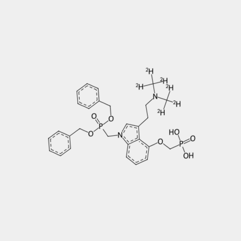 [2H]C([2H])([2H])N(CCc1cn(CP(=O)(OCc2ccccc2)OCc2ccccc2)c2cccc(OCP(=O)(O)O)c12)C([2H])([2H])[2H]